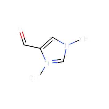 Cn1cc(C=O)[n+](C)c1